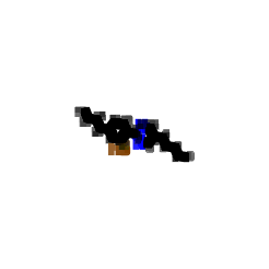 CCCCCc1cnc(-c2ccc(CCCC)cc2S)nc1